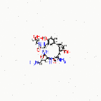 CC(C)(O)CNC(=O)[C@@H]1Cc2cc(ccc2O)-c2ccc(O)c(c2)C[C@H](N)C(=O)N[C@@H](CCCN)C(=O)N1